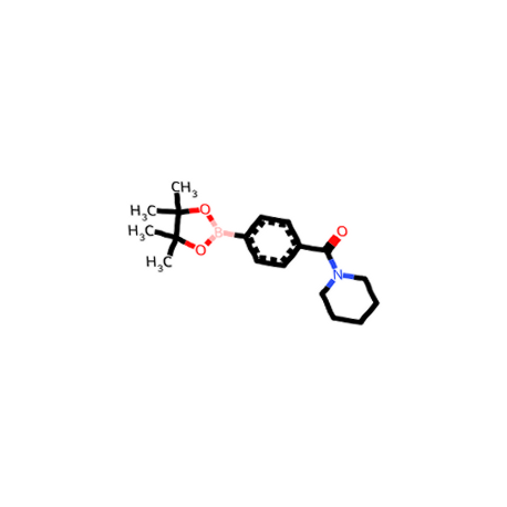 CC1(C)OB(c2ccc(C(=O)N3CCCCC3)cc2)OC1(C)C